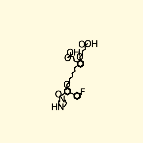 O=C(O)CCCOc1cccc(CCCCCCOc2cc(C(=O)N3CCCNCC3)cc(-c3cccc(F)c3)c2)c1CCC(=O)O